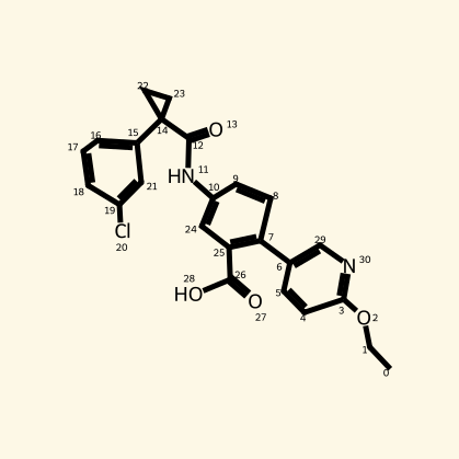 CCOc1ccc(-c2ccc(NC(=O)C3(c4cccc(Cl)c4)CC3)cc2C(=O)O)cn1